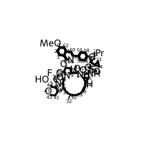 COc1ccc2c(O[C@@H]3C[C@H]4C(=O)N[C@]5(C(=O)NS(=O)(=O)C6(CF)CC6)C[C@H]5/C=C\CC[C@@H](C)C[C@@H](C)[C@H](N(C(=O)O)C5CCCOC5)C(=O)N4[C@H]3C(F)(F)F)nc(-c3ccc(OC(C)C)cc3)cc2c1